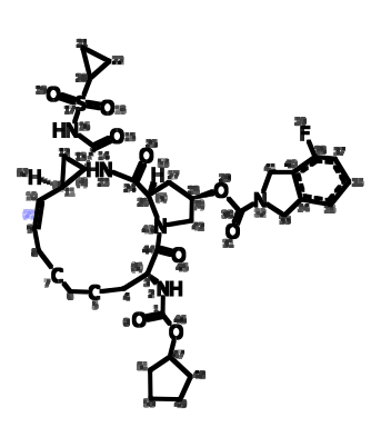 O=C(N[C@H]1CCCCC/C=C\[C@H]2C[C@@]2(C(=O)NS(=O)(=O)C2CC2)NC(=O)[C@@H]2C[C@@H](OC(=O)N3Cc4cccc(F)c4C3)CN2C1=O)OC1CCCC1